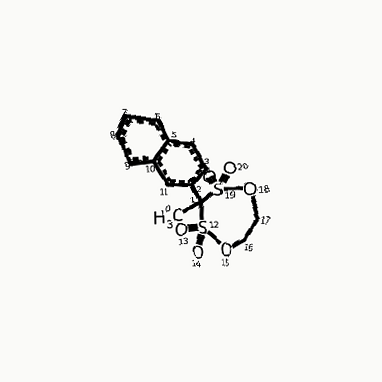 CC1(c2ccc3ccccc3c2)S(=O)(=O)OCCOS1(=O)=O